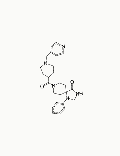 O=C(C1CCN(Cc2ccncc2)CC1)N1CCC2(CC1)C(=O)NCN2c1ccccc1